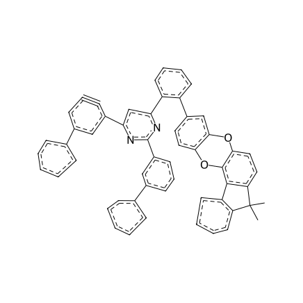 CC1(C)c2ccccc2-c2c1ccc1c2Oc2ccc(-c3ccccc3-c3cc(-c4c#ccc(-c5ccccc5)c4)nc(-c4cccc(-c5ccccc5)c4)n3)cc2O1